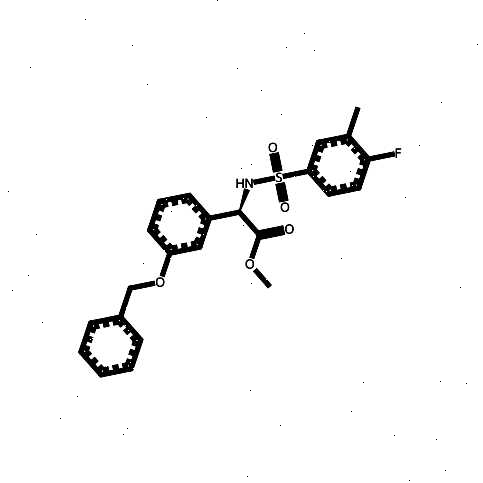 COC(=O)[C@H](NS(=O)(=O)c1ccc(F)c(C)c1)c1cccc(OCc2ccccc2)c1